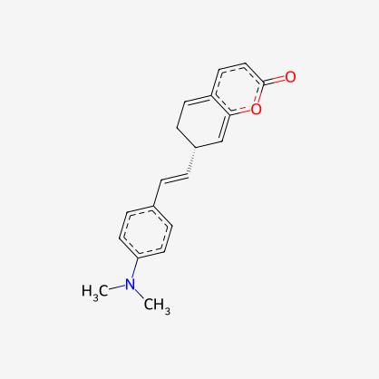 CN(C)c1ccc(/C=C/[C@H]2C=c3oc(=O)ccc3=CC2)cc1